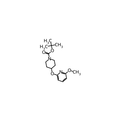 COc1cccc(OC2CCN(C(=O)OC(C)(C)C)CC2)n1